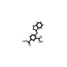 O=C(O)c1ccc(CC2CCc3ccccc32)c(C(=O)O)c1